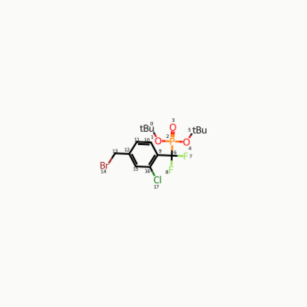 CC(C)(C)OP(=O)(OC(C)(C)C)C(F)(F)c1ccc(CBr)cc1Cl